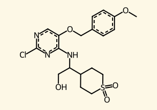 COc1ccc(COc2cnc(Cl)nc2NC(CO)C2CCS(=O)(=O)CC2)cc1